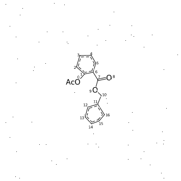 CC(=O)Oc1ccccc1C(=O)OCc1ccccc1